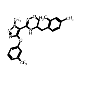 Cc1ccc(CC2CON=C(c3c(Oc4cccc(C(F)(F)F)c4)nnn3C)N2)c(C)c1